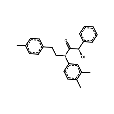 Cc1ccc(CCN(C(=O)[C@H](O)c2ccccc2)c2ccc(C)c(C)c2)cc1